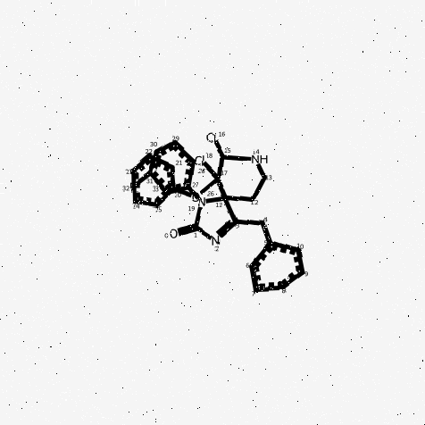 O=C1N=C(Cc2ccccc2)C2(CCNC(Cl)C2(Cl)Oc2ccccc2)N1c1cccc(F)c1